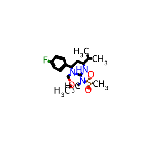 COCN1C(c2ccc(F)cc2)CC(C(C)C)NC1N(C)S(C)(=O)=O